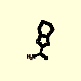 NC(=O)c1bc2ccccc2o1